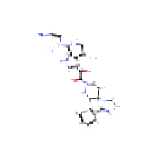 C=N/C=C\N(N)c1ncc(F)c2c(C(=O)C(=O)N3CCC(N4CCN=C4c4ccccc4)CC3)c[nH]c12